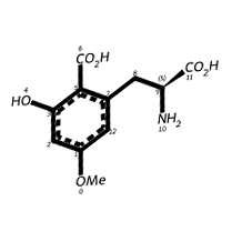 COc1cc(O)c(C(=O)O)c(C[C@H](N)C(=O)O)c1